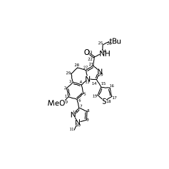 COc1cc2c(cc1-c1ccn(C)n1)-n1c(-c3ccsc3)nc(C(=O)NCC(C)(C)C)c1CC2